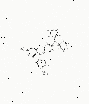 CCC(C)c1ccc(N(c2ccc(C)cc2)c2ccc(N(c3ccccc3)c3ccccc3)cc2)cc1